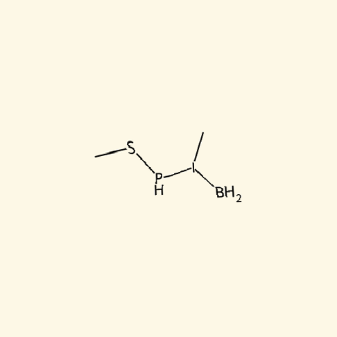 BI(C)PSC